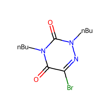 CCCCn1nc(Br)c(=O)n(CCCC)c1=O